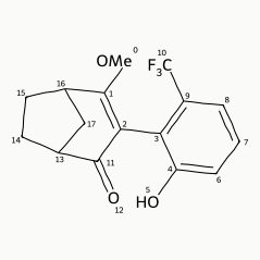 COC1=C(c2c(O)cccc2C(F)(F)F)C(=O)C2CCC1C2